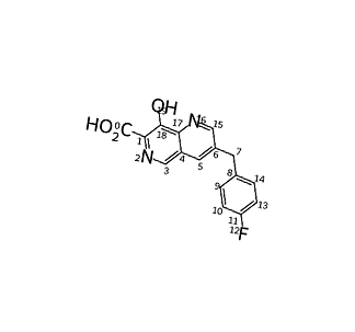 O=C(O)c1ncc2cc(Cc3ccc(F)cc3)cnc2c1O